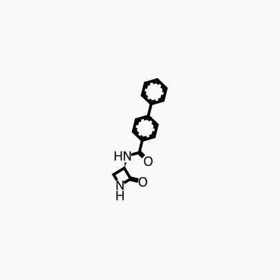 O=C(N[C@H]1CNC1=O)c1ccc(-c2ccccc2)cc1